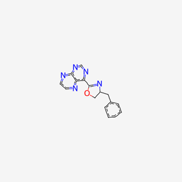 c1ccc(CC2COC(c3ncnc4nccnc34)=N2)cc1